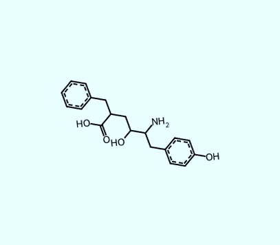 NC(Cc1ccc(O)cc1)C(O)CC(Cc1ccccc1)C(=O)O